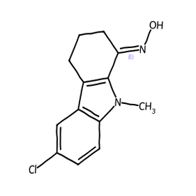 Cn1c2c(c3cc(Cl)ccc31)CCC/C2=N\O